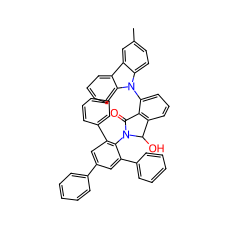 Cc1ccc2c(c1)c1ccccc1n2-c1cccc2c1C(=O)N(c1c(-c3ccccc3)cc(-c3ccccc3)cc1-c1ccccc1)C2O